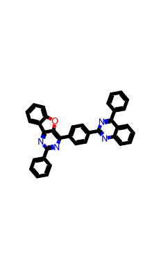 c1ccc(-c2nc(-c3ccc(-c4nc(-c5ccccc5)c5ccccc5n4)cc3)c3oc4ccccc4c3n2)cc1